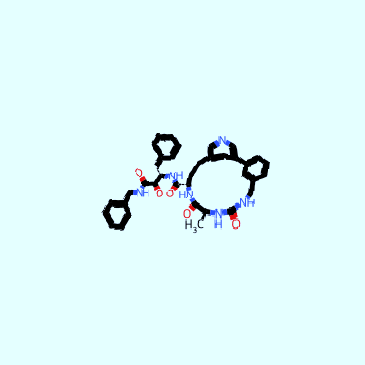 C[C@@H]1NC(=O)NCc2cccc(c2)-c2cncc(c2)CC[C@@H](C(=O)N[C@@H](Cc2ccccc2)C(=O)C(=O)NCc2ccccc2)NC1=O